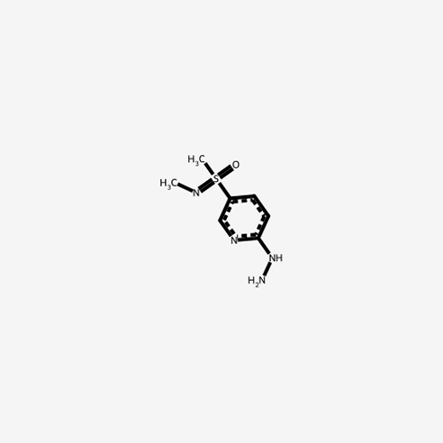 CN=S(C)(=O)c1ccc(NN)nc1